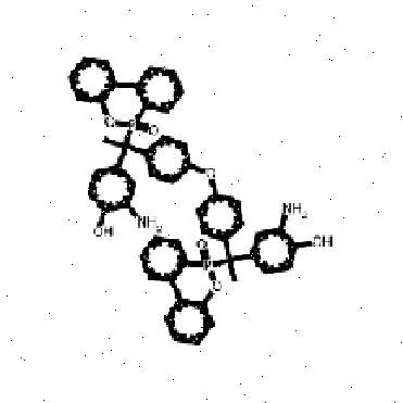 CC(c1ccc(Oc2ccc(C(C)(c3ccc(O)c(N)c3)P3(=O)Oc4ccccc4-c4ccccc43)cc2)cc1)(c1ccc(O)c(N)c1)P1(=O)Oc2ccccc2-c2ccccc21